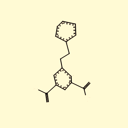 O=C(O)c1cc(CCc2ccccc2)cc(C(=O)O)c1